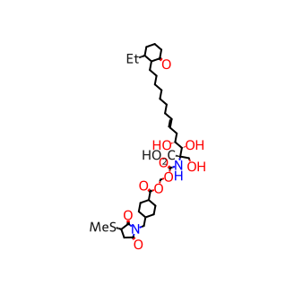 CCC1CCCC(=O)C1CCCCCCC/C=C/C[C@@H](O)[C@H](O)[C@](CO)(NC(=O)OCOC(=O)C1CCC(CN2C(=O)CC(SC)C2=O)CC1)C(=O)O